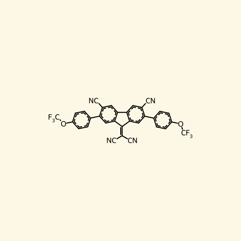 N#CC(C#N)=C1c2cc(-c3ccc(OC(F)(F)F)cc3)c(C#N)cc2-c2cc(C#N)c(-c3ccc(OC(F)(F)F)cc3)cc21